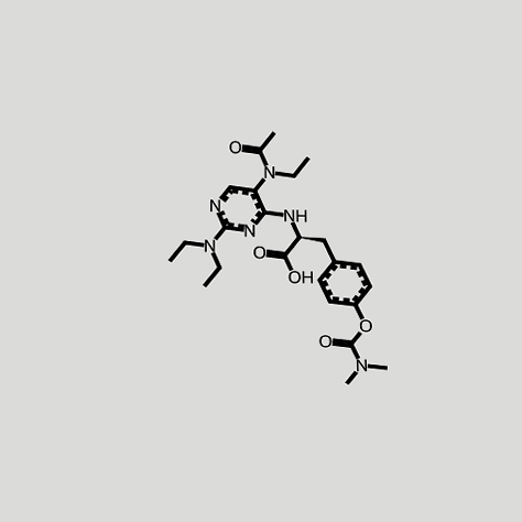 CCN(CC)c1ncc(N(CC)C(C)=O)c(N[C@@H](Cc2ccc(OC(=O)N(C)C)cc2)C(=O)O)n1